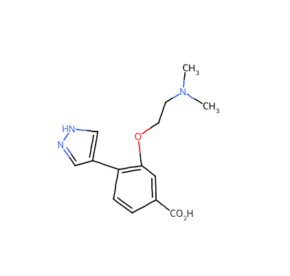 CN(C)CCOc1cc(C(=O)O)ccc1-c1cn[nH]c1